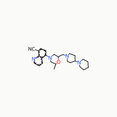 CC1CN(c2ccc(C#N)c3ncccc23)CC(CN2CCC(N3CCCCC3)CC2)O1